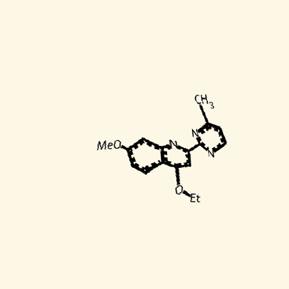 CCOc1cc(-c2nccc(C)n2)nc2cc(OC)ccc12